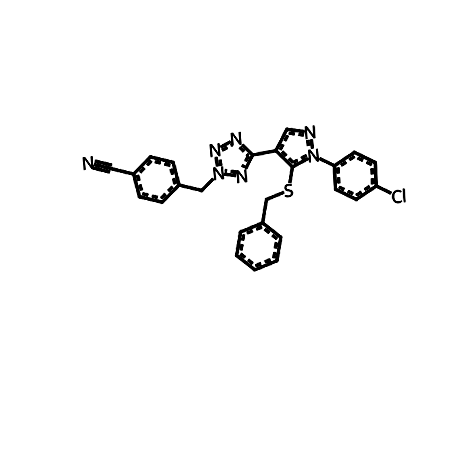 N#Cc1ccc(Cn2nnc(-c3cnn(-c4ccc(Cl)cc4)c3SCc3ccccc3)n2)cc1